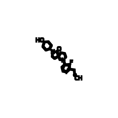 C#CCc1[c]ccc(N2CCCC3(CCN([C@H]4CC[C@H](O)CC4)C3=O)C2)c1F